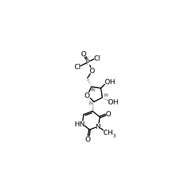 Cn1c(=O)[nH]cc([C@@H]2O[C@H](COP(=O)(Cl)Cl)C(O)[C@@H]2O)c1=O